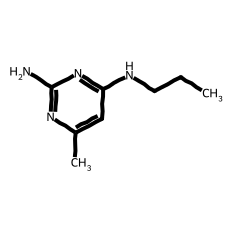 CCCNc1cc(C)nc(N)n1